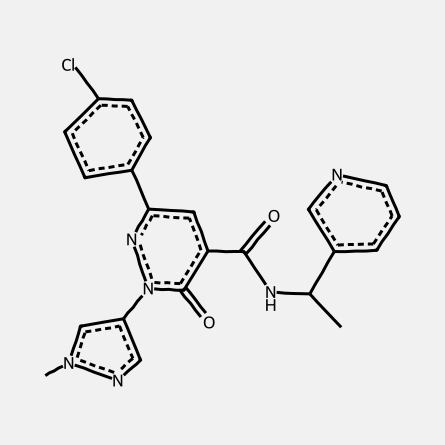 CC(NC(=O)c1cc(-c2ccc(Cl)cc2)nn(-c2cnn(C)c2)c1=O)c1cccnc1